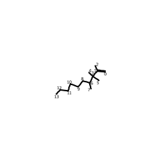 C=C(C)C(C)(C)C(C)CCCCCC